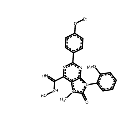 CCOc1ccc(-c2nc(C(=N)NO)c3c(n2)n(-c2ccccc2OC)c(=O)n3C)cc1